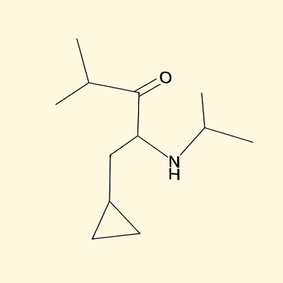 CC(C)NC(CC1CC1)C(=O)C(C)C